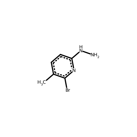 Cc1ccc(NN)nc1Br